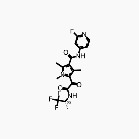 Cc1c(C(=O)Nc2ccnc(F)c2)c(C)n(C)c1C(=O)C(=O)N[C@H](C)C(F)(F)F